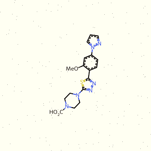 COc1cc(-n2cccn2)ccc1-c1nnc(N2CCN(C(=O)O)CC2)s1